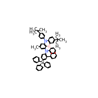 Cc1cc2c3c(c1)N(c1ccc([Si](c4ccccc4)(c4ccccc4)c4ccccc4)cc1-c1ccccc1)c1ccccc1B3c1cc(C(C)(C)C)ccc1N2c1ccc(C(C)(C)C)cc1